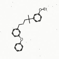 CCOc1cccc(C(C)(C)CCCc2cccc(Oc3ccccc3)c2)c1